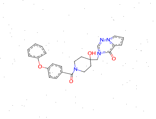 O=C(c1ccc(Oc2ccccc2)cc1)N1CCC(O)(Cn2cnn3cccc3c2=O)CC1